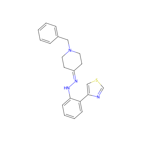 c1ccc(CN2CCC(=NNc3ccccc3-c3cscn3)CC2)cc1